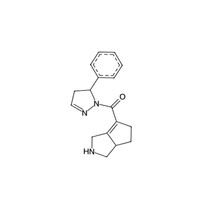 O=C(C1=C2CNCC2CC1)N1N=CCC1c1ccccc1